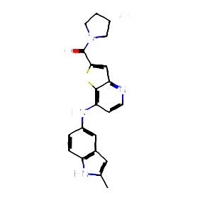 Cc1cc2cc(Nc3ccnc4cc(C(=O)N5CC[C@H](O)C5)sc34)ccc2[nH]1